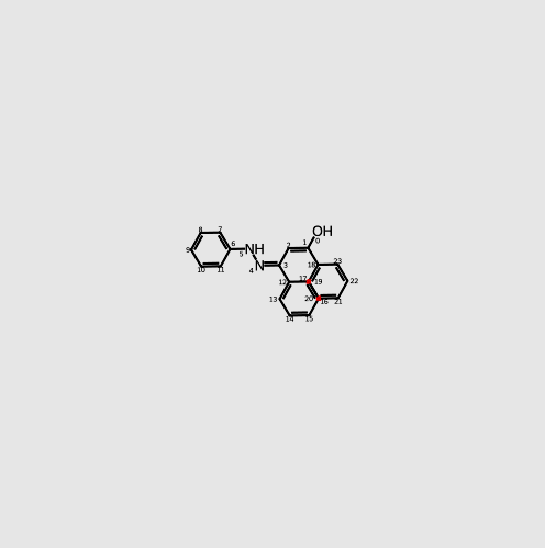 O/C(=C/C(=N\Nc1ccccc1)c1ccccc1)c1ccccc1